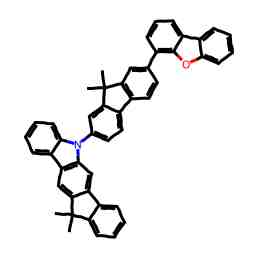 CC1(C)c2cc(-c3cccc4c3oc3ccccc34)ccc2-c2ccc(-n3c4ccccc4c4cc5c(cc43)-c3ccccc3C5(C)C)cc21